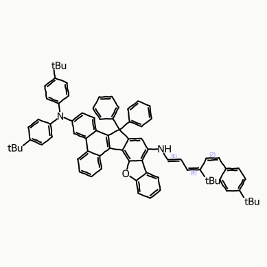 CC(C)(C)C(/C=C\c1ccc(C(C)(C)C)cc1)=C/C=C/Nc1cc2c(c3oc4ccccc4c13)-c1c(c3ccc(N(c4ccc(C(C)(C)C)cc4)c4ccc(C(C)(C)C)cc4)cc3c3ccccc13)C2(c1ccccc1)c1ccccc1